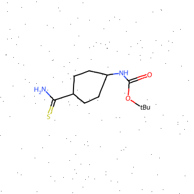 CC(C)(C)OC(=O)NC1CCC(C(N)=S)CC1